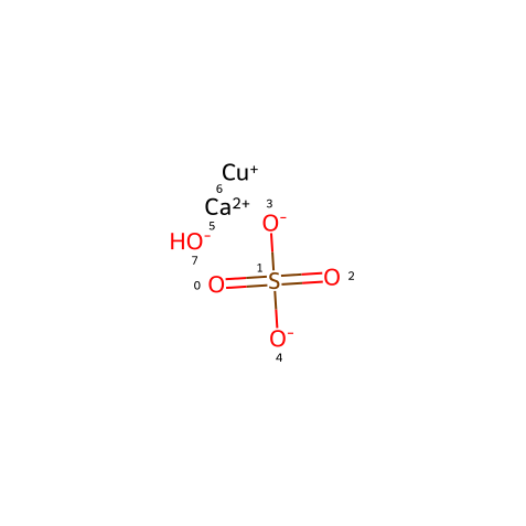 O=S(=O)([O-])[O-].[Ca+2].[Cu+].[OH-]